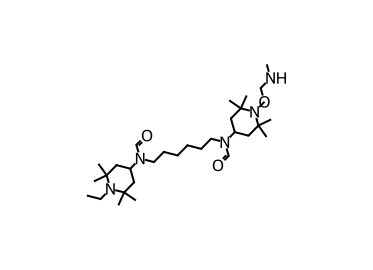 CCN1C(C)(C)CC(N(C=O)CCCCCCN(C=O)C2CC(C)(C)N(OCNC)C(C)(C)C2)CC1(C)C